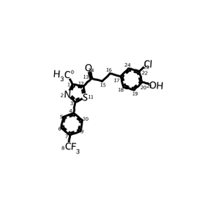 Cc1nc(-c2ccc(C(F)(F)F)cc2)sc1C(=O)CCc1ccc(O)c(Cl)c1